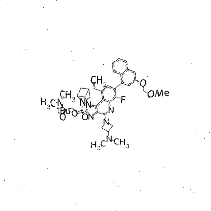 C=Cc1cc(-c2cc(OCOC)cc3ccccc23)c(F)c2nc(N3CC(N(C)C)C3)c3nc(CCC(=O)N(C)C)n(C4C5CC4N(C(=O)OC(C)(C)C)C5)c3c12